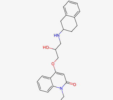 CCn1c(=O)cc(OCC(O)CNC2CCc3ccccc3C2)c2ccccc21